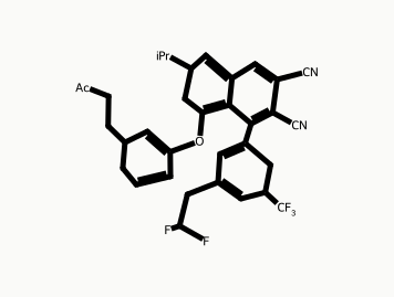 CC(=O)CCC1C=C(OC2=c3c(C4=CC(CC(F)F)=CC(C(F)(F)F)C4)c(C#N)c(C#N)cc3=CC(C(C)C)C2)C=CC1